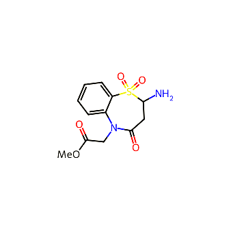 COC(=O)CN1C(=O)CC(N)S(=O)(=O)c2ccccc21